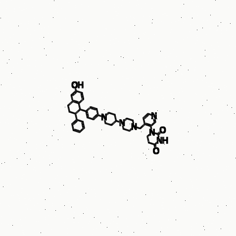 O=C1CCN(c2cnccc2CN2CCN(C3CCN(c4ccc(C5c6ccc(O)cc6CCC5c5ccccc5)cc4)CC3)CC2)C(=O)N1